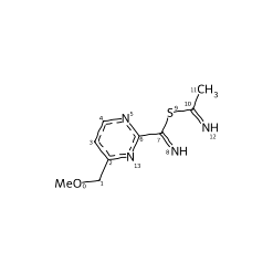 COCc1ccnc(C(=N)SC(C)=N)n1